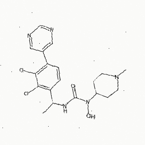 CC(NC(=O)N(O)C1CCN(C)CC1)c1ccc(-c2cncnc2)c(Cl)c1Cl